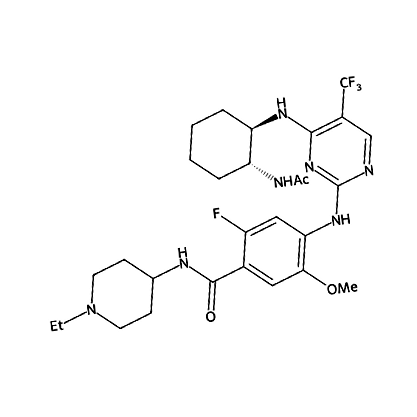 CCN1CCC(NC(=O)c2cc(OC)c(Nc3ncc(C(F)(F)F)c(N[C@@H]4CCCC[C@H]4NC(C)=O)n3)cc2F)CC1